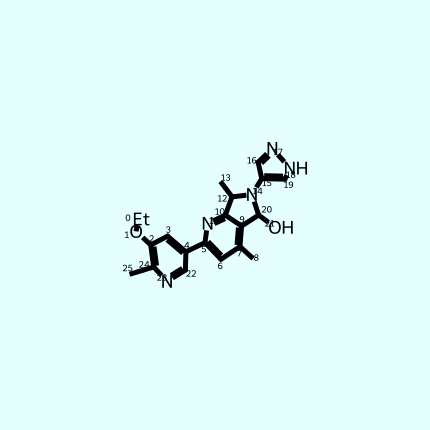 CCOc1cc(-c2cc(C)c3c(n2)C(C)N(c2cn[nH]c2)C3O)cnc1C